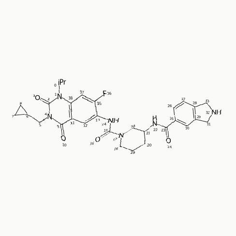 CC(C)n1c(=O)n(CC2CC2)c(=O)c2cc(NC(=O)N3CCCC(NC(=O)c4ccc5c(c4)CNC5)C3)c(F)cc21